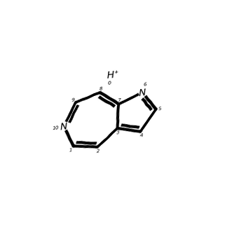 [H+].c1cc2ccnc-2ccn1